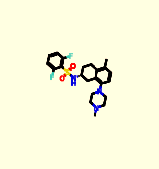 Cc1ccc(N2CCN(C)CC2)c2c1CC[C@@H](NS(=O)(=O)c1c(F)cccc1F)C2